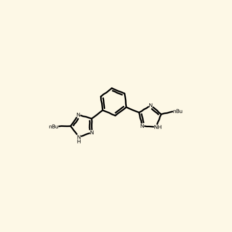 CCCCc1nc(-c2cccc(-c3n[nH]c(CCCC)n3)c2)n[nH]1